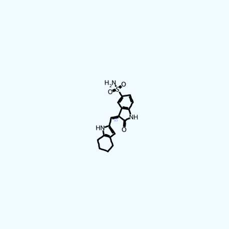 NS(=O)(=O)c1ccc2c(c1)/C(=C/c1cc3c([nH]1)CCCC3)C(=O)N2